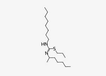 CCCCCCCCNC(=NC(C)CCCCC)SCCC